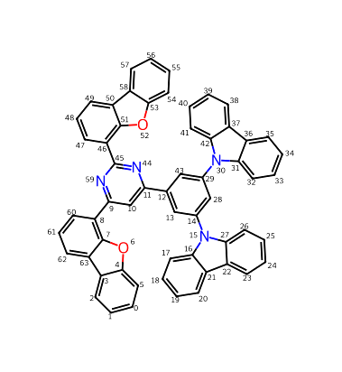 c1ccc2c(c1)oc1c(-c3cc(-c4cc(-n5c6ccccc6c6ccccc65)cc(-n5c6ccccc6c6ccccc65)c4)nc(-c4cccc5c4oc4ccccc45)n3)cccc12